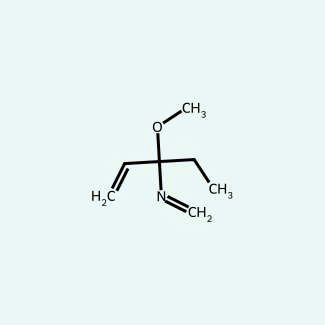 C=CC(CC)(N=C)OC